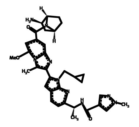 COc1cc(C(=O)N2[C@H]3CC[C@@H]2[C@H](N)C3)cc2nc(-c3cc4ccc([C@@H](C)NC(=O)c5cnn(C)c5)nc4n3CC3CC3)c(C)n12